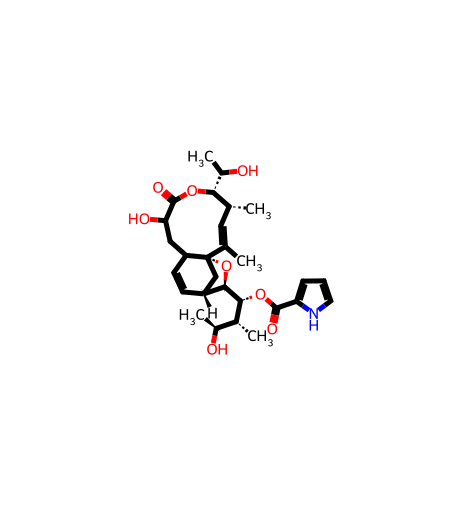 C/C1=C\[C@@H](C)[C@@H](C(C)O)OC(=O)C(O)CC2C=C[C@@H]3C[C@]12O[C@H]3[C@H](OC(=O)c1ccc[nH]1)[C@H](C)[C@H](C)O